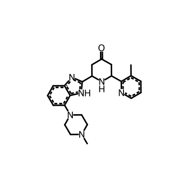 Cc1cccnc1C1CC(=O)CC(c2nc3cccc(N4CCN(C)CC4)c3[nH]2)N1